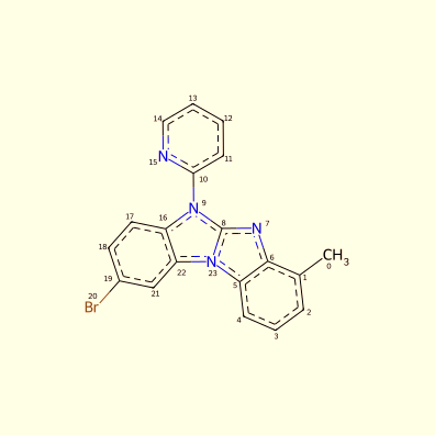 Cc1cccc2c1nc1n(-c3ccccn3)c3ccc(Br)cc3n21